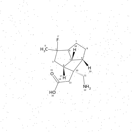 CC1(F)C[C@@H]2[C@@H]3C1CC[C@@H]3[C@@]2(CN)CC(=O)O